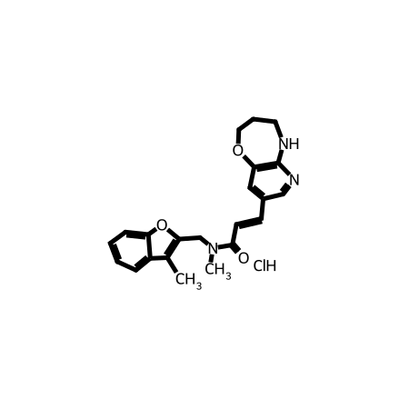 Cc1c(CN(C)C(=O)C=Cc2cnc3c(c2)OCCCN3)oc2ccccc12.Cl